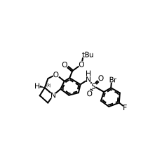 CC(C)(C)OC(=O)c1c(NS(=O)(=O)c2ccc(F)cc2Br)ccc2c1OC[C@H]1CCN21